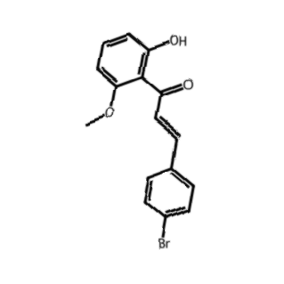 COc1cccc(O)c1C(=O)/C=C/c1ccc(Br)cc1